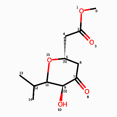 COC(=O)C[C@@H]1CC(=O)[C@@H](O)C(C(C)C)O1